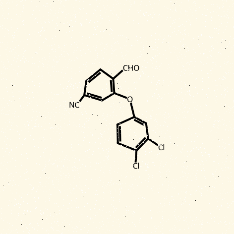 N#Cc1ccc(C=O)c(Oc2ccc(Cl)c(Cl)c2)c1